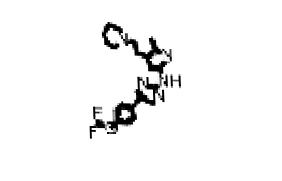 Cc1ncc(Nc2ncc(-c3ccc(OC(F)F)cc3)cn2)cc1CCN1CCCCC1